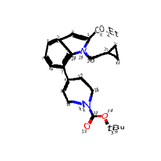 CCOC(=O)c1cc2cccc(C3=CCN(C(=O)OC(C)(C)C)CC3)c2n1CC1CC1